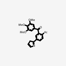 COc1cc(C(=O)c2cc(C3=NC=CC3)ccc2C(C)=O)cc(OC)c1OC